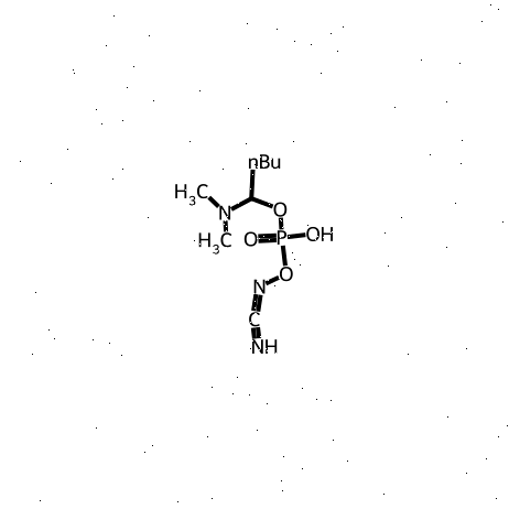 CCCCC(OP(=O)(O)ON=C=N)N(C)C